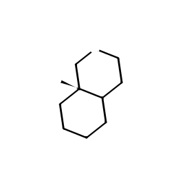 B1CCC2CCCC[C@@H]2C1